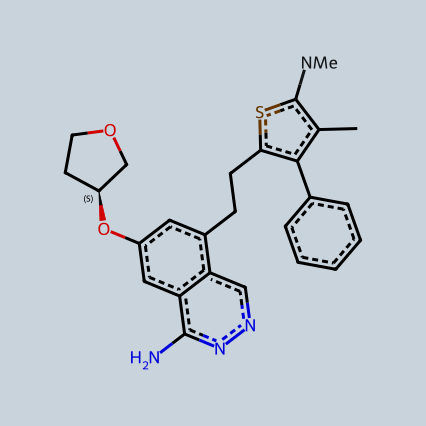 CNc1sc(CCc2cc(O[C@H]3CCOC3)cc3c(N)nncc23)c(-c2ccccc2)c1C